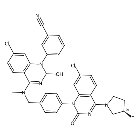 CN(Cc1ccc(-n2c(=O)nc(N3CC[C@@H](F)C3)c3ccc(Cl)cc32)cc1)C1=NC(O)N(c2cccc(C#N)c2)c2cc(Cl)ccc21